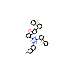 CC1C=Cc2ccc(-c3nc(-c4cccc5c4sc4ccccc45)nc(-c4cccc5oc6cc(-c7cccc8sc9ccccc9c78)ccc6c45)n3)cc2C1